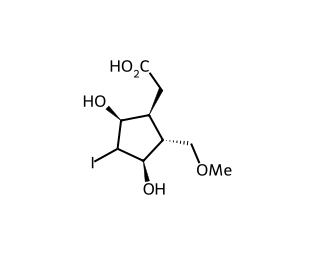 COC[C@H]1[C@H](CC(=O)O)[C@H](O)C(I)[C@@H]1O